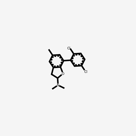 Cc1cc2c(c(-c3cc(Cl)ccc3Cl)c1)OC(N(C)C)C2